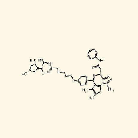 Cc1sc2c(c1C)C(c1ccc(OCCCOCC(=O)N[C@H](C(=O)N3C[C@H](O)C[C@H]3C)C(C)(C)C)cc1)=N[C@@H](CC(=O)Nc1ccccc1)c1nnc(C)n1-2